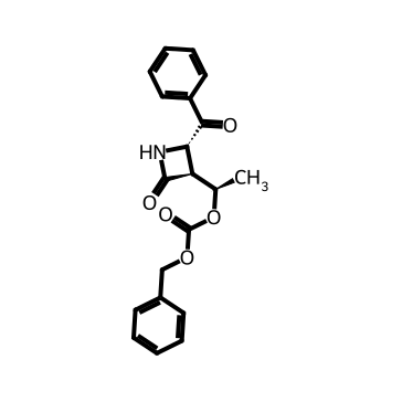 C[C@@H](OC(=O)OCc1ccccc1)[C@H]1C(=O)N[C@@H]1C(=O)c1ccccc1